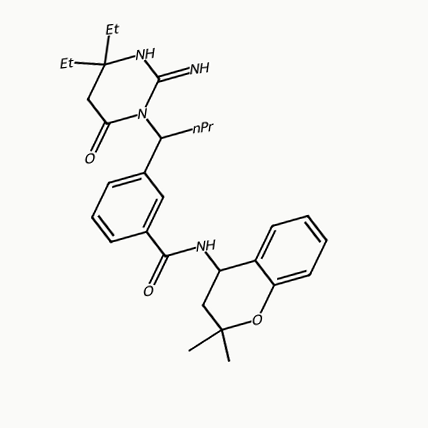 CCCC(c1cccc(C(=O)NC2CC(C)(C)Oc3ccccc32)c1)N1C(=N)NC(CC)(CC)CC1=O